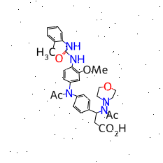 COc1cc(N(C(C)=O)c2ccc(C(CC(=O)O)N(C(C)=O)N3CCOCC3)cc2)ccc1NC(=O)Nc1ccccc1C